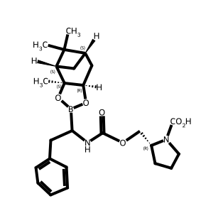 CC1(C)[C@@H]2C[C@H]3OB(C(Cc4ccccc4)NC(=O)OC[C@H]4CCCN4C(=O)O)O[C@@]3(C)[C@H]1C2